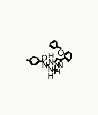 Cc1ccc(C(=O)/N=C(\Nc2cc(-c3ccccc3OCc3ccccc3)n[nH]2)NC(C)(C)C)cc1